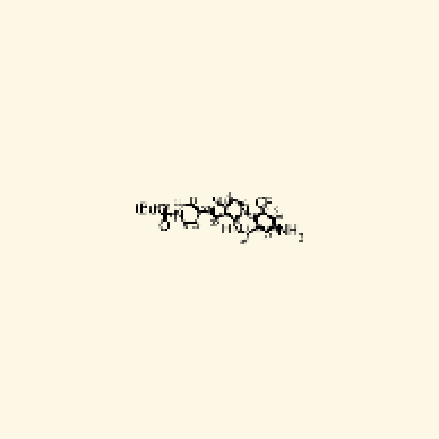 C[C@@H](Nc1nccc2sc(C3=CCN(C(=O)OC(C)(C)C)CC3)cc12)c1cc(N)cc(C(F)(F)F)c1